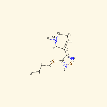 CCCCSc1nsnc1C1=CCCN(C)C1